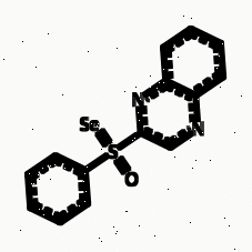 O=S(=[Se])(c1ccccc1)c1cnc2ccccc2n1